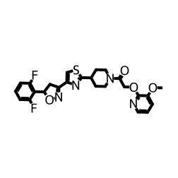 COc1cccnc1OCC(=O)N1CCC(c2nc(C3=NOC(c4c(F)cccc4F)C3)cs2)CC1